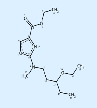 CCOC(=O)c1coc(N(C)CCC(CC)OCC)n1